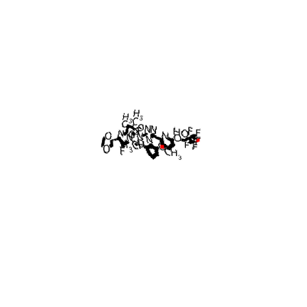 COc1cccc(OC)c1-n1c(NS(=O)(=O)[C@@H](C)[C@H](C)c2ncc(F)c([C@H]3COCCO3)n2)nnc1-c1cccc(OCC(O)(C(F)(F)F)C(F)(F)F)n1